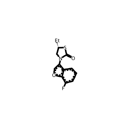 CC[C@H]1CN(c2coc3c(F)cccc23)C(=O)S1